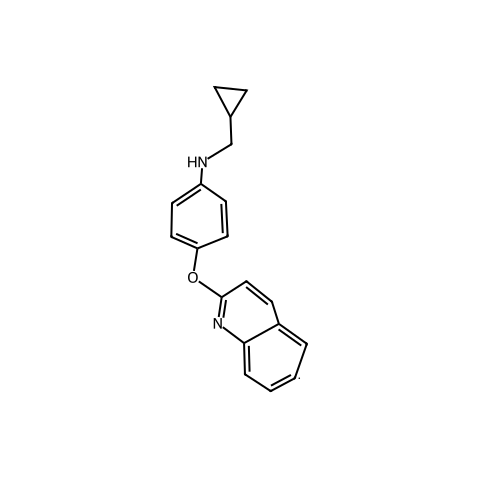 [c]1ccc2nc(Oc3ccc(NCC4CC4)cc3)ccc2c1